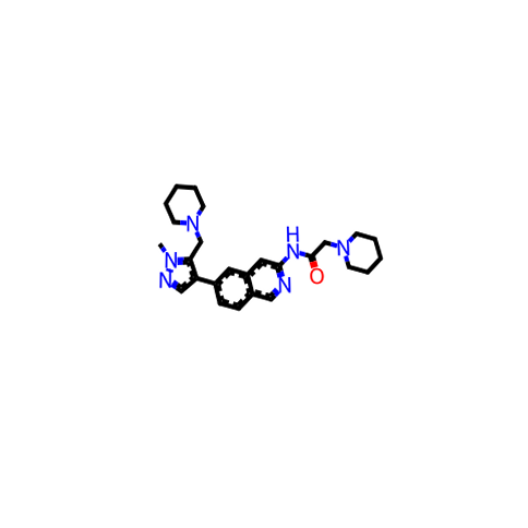 Cn1ncc(-c2ccc3cnc(NC(=O)CN4CCCCC4)cc3c2)c1CN1CCCCC1